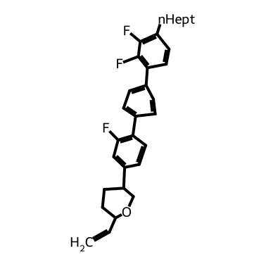 C=CC1CCC(c2ccc(-c3ccc(-c4ccc(CCCCCCC)c(F)c4F)cc3)c(F)c2)CO1